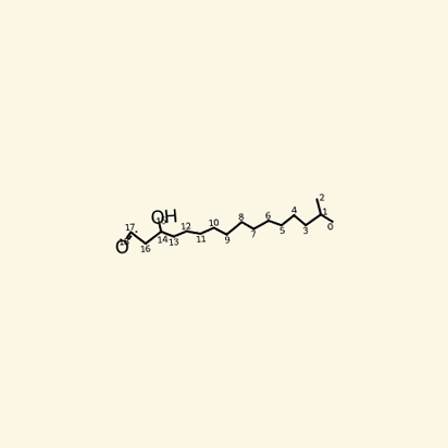 CC(C)CCCCCCCCCCCC(O)C[C]=O